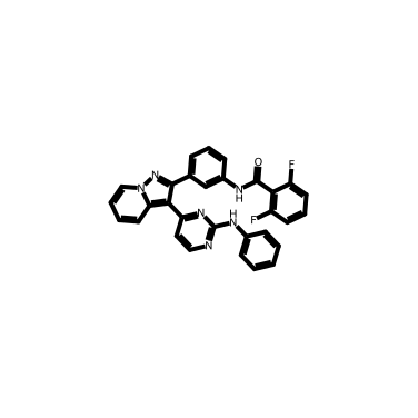 O=C(Nc1cccc(-c2nn3ccccc3c2-c2ccnc(Nc3ccccc3)n2)c1)c1c(F)cccc1F